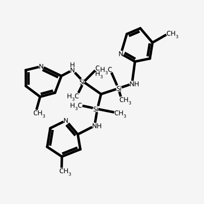 Cc1ccnc(N[Si](C)(C)C([Si](C)(C)Nc2cc(C)ccn2)[Si](C)(C)Nc2cc(C)ccn2)c1